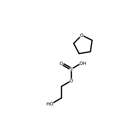 C1CCOC1.O=S(O)OCCO